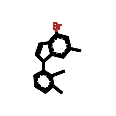 Cc1cc(Br)c2c(c1)C(c1cccc(C)c1C)C=C2